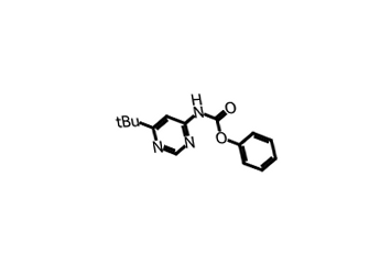 CC(C)(C)c1cc(NC(=O)Oc2ccccc2)ncn1